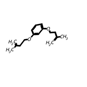 C=C(C)CCOc1cccc(OCCC(=C)C)c1